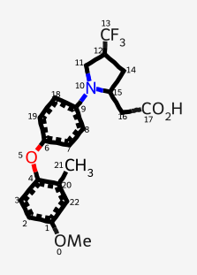 COc1ccc(Oc2ccc(N3CC(C(F)(F)F)CC3CC(=O)O)cc2)c(C)c1